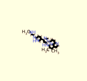 CNCCNc1ccc(-c2cc(NC[C@@H](C)C(C)c3ccnc4cccnc34)ncn2)cn1